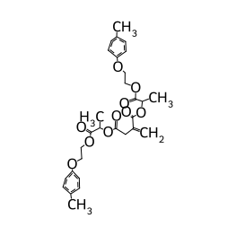 C=C(CC(=O)OC(C)C(=O)OCCOc1ccc(C)cc1)C(=O)OC(C)C(=O)OCCOc1ccc(C)cc1